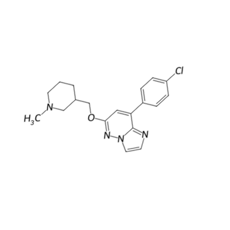 CN1CCCC(COc2cc(-c3ccc(Cl)cc3)c3nccn3n2)C1